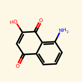 Nc1cccc2c1C(=O)C(O)=CC2=O